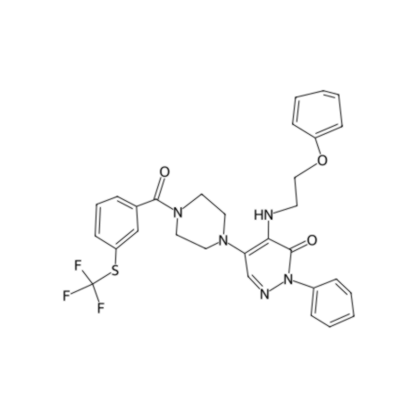 O=C(c1cccc(SC(F)(F)F)c1)N1CCN(c2cnn(-c3ccccc3)c(=O)c2NCCOc2ccccc2)CC1